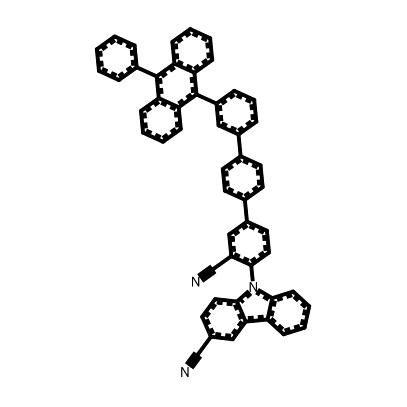 N#Cc1ccc2c(c1)c1ccccc1n2-c1ccc(-c2ccc(-c3cccc(-c4c5ccccc5c(-c5ccccc5)c5ccccc45)c3)cc2)cc1C#N